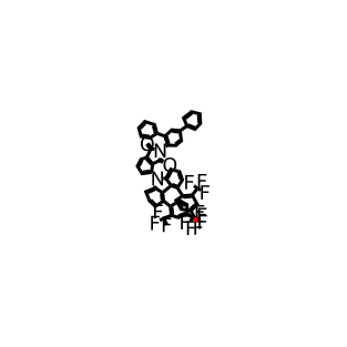 O=C1c2cccc(-n3c4cccc(-c5ccc(C(F)(F)F)cc5C(F)(F)F)c4c4c(-c5ccc(C(F)(F)F)cc5C(F)(F)F)cccc43)c2C(=O)N1c1ccc(-c2ccccc2)cc1-c1ccccc1